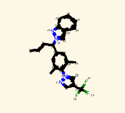 CCCC(c1cc(C)c(-n2cc(C(F)(F)F)cn2)c(C)c1)n1cc2ccccc2n1